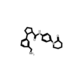 NCc1cccc(C2CCCC2C(=O)Nc2ccc(N3CCCCC3=O)cc2)c1